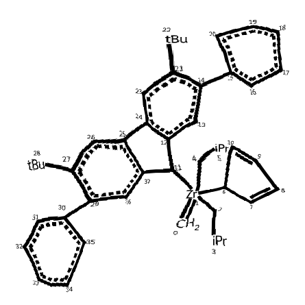 [CH2]=[Zr]([CH2]C(C)C)([CH2]C(C)C)([CH]1C=CC=C1)[CH]1c2cc(-c3ccccc3)c(C(C)(C)C)cc2-c2cc(C(C)(C)C)c(-c3ccccc3)cc21